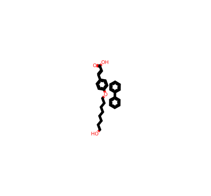 O=C(O)C=Cc1ccc(OCCCCCCCCO)cc1.c1ccc(-c2ccccc2)cc1